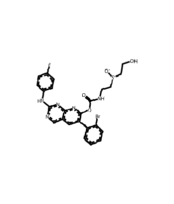 O=C(NCC[S+]([O-])CCO)Oc1nc2nc(Nc3ccc(F)cc3)ncc2cc1-c1ccccc1Br